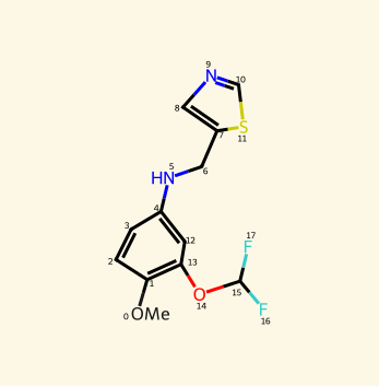 COc1ccc(NCc2cncs2)cc1OC(F)F